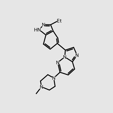 CCc1n[nH]c2ccc(-c3cnc4ccc(N5CCN(C)CC5)nn34)cc12